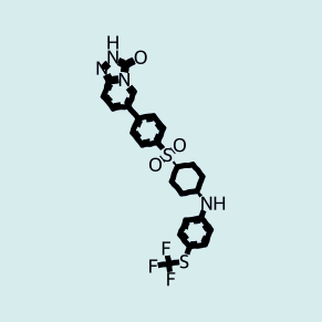 O=c1[nH]nc2ccc(-c3ccc(S(=O)(=O)[C@H]4CC[C@H](Nc5ccc(SC(F)(F)F)cc5)CC4)cc3)cn12